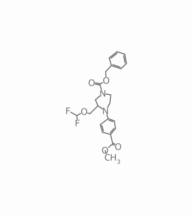 COC(=O)c1ccc(N2CCN(C(=O)OCc3ccccc3)CC2COC(F)F)cc1